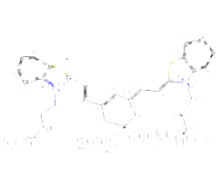 CCOC(=O)C1(C(=O)OCC)CC(/C=C/c2sc3ccccc3[n+]2CCCS(=O)(=O)O)=CC(=C/C=C2\Sc3ccccc3N2CCCS(=O)(=O)O)/C1